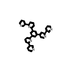 c1cncc(-c2cc(-c3cc(-c4cccc(-c5cccnc5)n4)cc(-c4cccc(-c5cccnc5)n4)c3)ccn2)c1